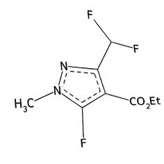 CCOC(=O)c1c(C(F)F)nn(C)c1F